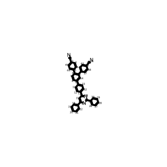 N#Cc1ccc(-c2ccc(-c3ccc(-c4cc(-c5ccccc5)nc(-c5ccccc5)n4)cc3)cc2-c2ccc(C#N)cc2)cc1